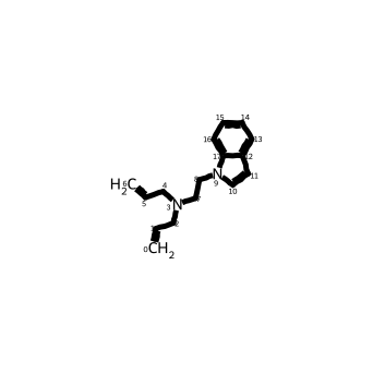 C=CCN(CC=C)CCn1ccc2ccccc21